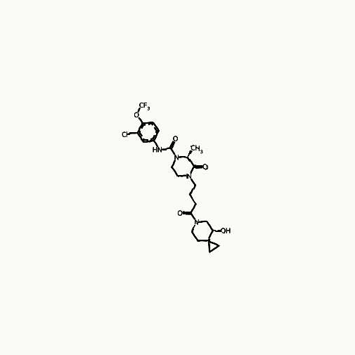 C[C@H]1C(=O)N(CCCC(=O)N2CCC3(CC3)[C@H](O)C2)CCN1C(=O)Nc1ccc(OC(F)(F)F)c(Cl)c1